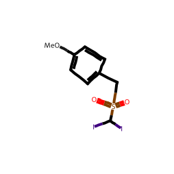 COc1ccc(CS(=O)(=O)C(I)I)cc1